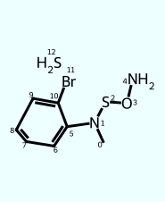 CN(SON)c1ccccc1Br.S